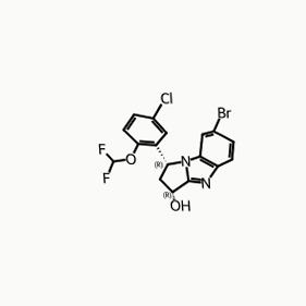 O[C@@H]1C[C@H](c2cc(Cl)ccc2OC(F)F)n2c1nc1ccc(Br)cc12